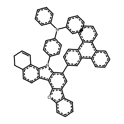 C1=Cc2c(ccc3c4c5oc6ccccc6c5cc(-c5ccc6c7ccccc7c7ccccc7c6c5)c4n(-c4ccc(N(c5ccccc5)c5ccccc5)cc4)c23)CC1